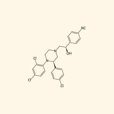 [C-]#[N+]c1ccc([C@@H](O)CN2CCN(c3ccc(Cl)cc3Cl)[C@H](c3ccc(Cl)cc3)C2)cc1